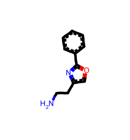 NCCc1coc(-c2ccccc2)n1